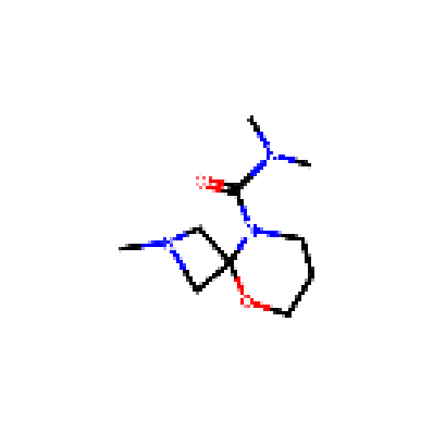 CN1CC2(C1)OCCCN2C(=O)N(C)C